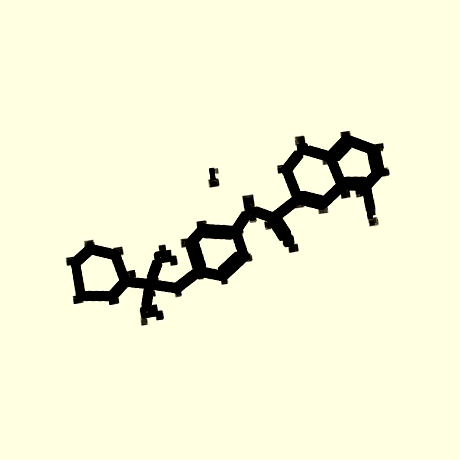 C[N+](C)(Cc1ccc(NC(=O)C2=Cc3c(F)cccc3OC2)cc1)C1CCCCC1.[I-]